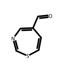 O=CC1=CN=CSC=C1